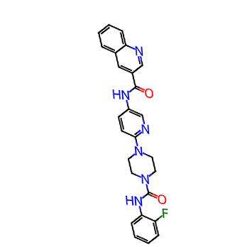 O=C(Nc1ccc(N2CCN(C(=O)Nc3ccccc3F)CC2)nc1)c1cnc2ccccc2c1